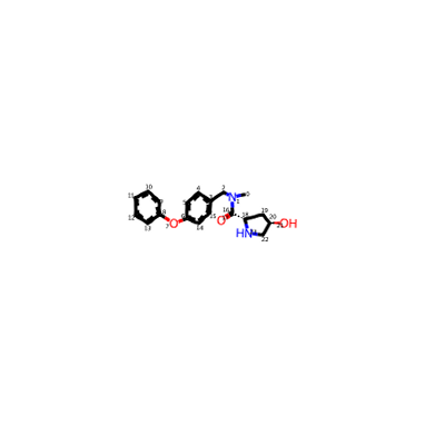 CN(Cc1ccc(Oc2ccccc2)cc1)C(=O)[C@@H]1C[C@@H](O)CN1